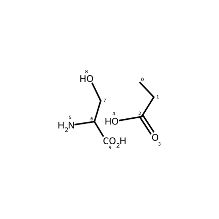 CCC(=O)O.NC(CO)C(=O)O